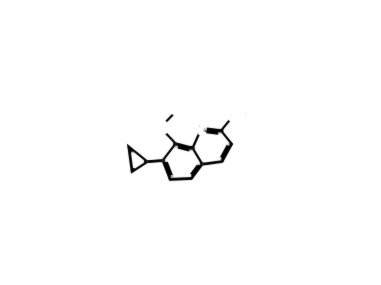 COc1c(C2CC2)ccc2ccc(C)nc12